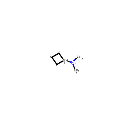 CCCN(C)[SiH]1CCC1